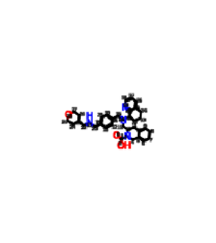 O=C(O)N1Cc2ccccc2C[C@@H]1CN(Cc1ccc(CNCC2CCOCC2)cc1)[C@H]1CCCc2cccnc21